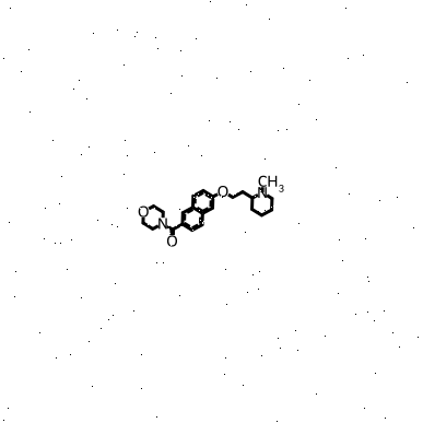 CN1CCCCC1CCOc1ccc2cc(C(=O)N3CCOCC3)ccc2c1